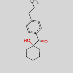 CCCc1ccc(C(=O)C2(O)CCCCC2)cc1